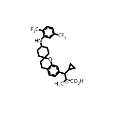 C[C@H](C(=O)O)C(c1ccc2c(c1)OC1(CC2)CCC(Nc2cc(C(F)(F)F)ccc2C(F)(F)F)CC1)C1CC1